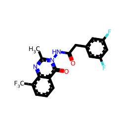 Cc1nc2c(C(F)(F)F)cccc2c(=O)n1NC(=O)Cc1cc(F)cc(F)c1